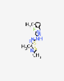 Cc1csc(C(C)c2nnc(Nc3ccn(Cc4cccc(C)c4F)n3)s2)n1